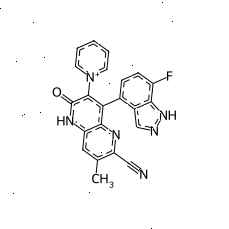 Cc1cc2[nH]c(=O)c(-[n+]3ccccc3)c(-c3ccc(F)c4[nH]ncc34)c2nc1C#N